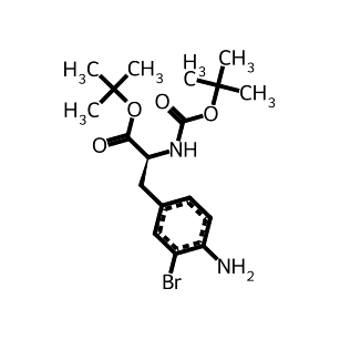 CC(C)(C)OC(=O)N[C@@H](Cc1ccc(N)c(Br)c1)C(=O)OC(C)(C)C